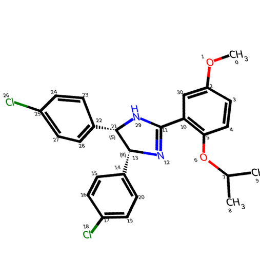 COc1ccc(OC(C)C)c(C2=N[C@H](c3ccc(Cl)cc3)[C@H](c3ccc(Cl)cc3)N2)c1